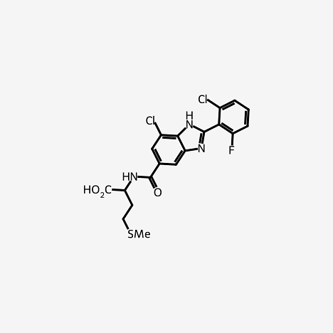 CSCCC(NC(=O)c1cc(Cl)c2[nH]c(-c3c(F)cccc3Cl)nc2c1)C(=O)O